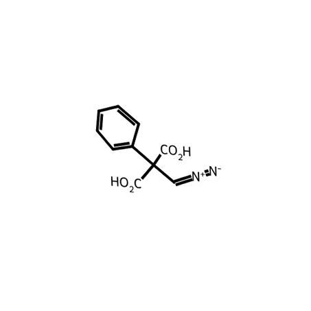 [N-]=[N+]=CC(C(=O)O)(C(=O)O)c1ccccc1